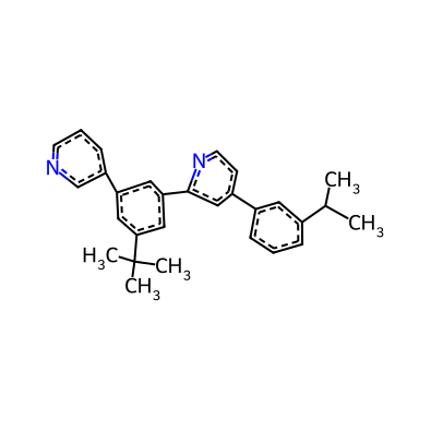 CC(C)c1cccc(-c2ccnc(-c3cc(-c4cccnc4)cc(C(C)(C)C)c3)c2)c1